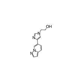 OCCn1cnc(-c2ccc3ccnn3c2)c1